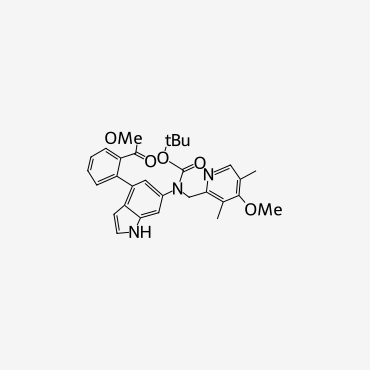 COC(=O)c1ccccc1-c1cc(N(Cc2ncc(C)c(OC)c2C)C(=O)OC(C)(C)C)cc2[nH]ccc12